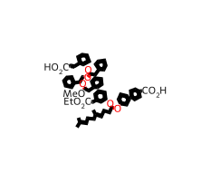 CC(C)=CCC/C(C)=C/CCC(=O)Oc1ccccc1.CCOC(=O)Cc1ccccc1.COC(=O)Cc1ccccc1.O=C(Cc1ccccc1)OCCc1ccccc1.O=C(O)/C=C/c1ccccc1.O=C(O)c1ccccc1